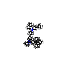 C1=CC(N(c2ccc(-c3ccc4c(c3)c3cc(C5(c6ccccc6)c6ccccc6-c6ccccc65)ccc3n4-c3ccccc3)cc2)c2cccc3ccccc23)CC=C1c1ccccc1